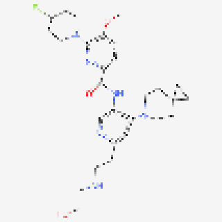 COc1ccc(C(=O)Nc2cnc(CCNCCO)cc2N2CCC3(CC2)CC3)nc1N1CCC(F)CC1